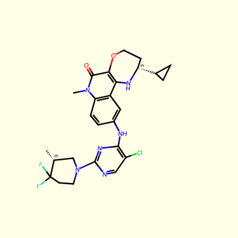 C[C@@H]1CN(c2ncc(Cl)c(Nc3ccc4c(c3)c3c(c(=O)n4C)OCC[C@H](C4CC4)N3)n2)CCC1(F)F